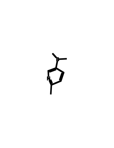 CB(C)c1ccc(C)nc1